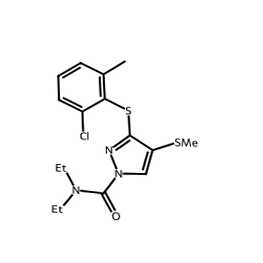 CCN(CC)C(=O)n1cc(SC)c(Sc2c(C)cccc2Cl)n1